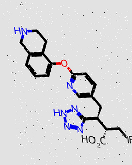 CC(C)C[C@H](C(=O)O)[C@H](Cc1ccc(Oc2cccc3c2CCNC3)nc1)c1nn[nH]n1